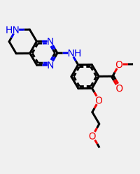 COCCOc1ccc(Nc2ncc3c(n2)CNCC3)cc1C(=O)OC